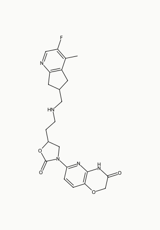 Cc1c(F)cnc2c1CC(CNCCC1CN(c3ccc4c(n3)NC(=O)CO4)C(=O)O1)C2